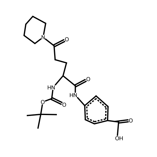 CC(C)(C)OC(=O)NC(CCC(=O)N1CCCCC1)C(=O)Nc1ccc(C(=O)O)cc1